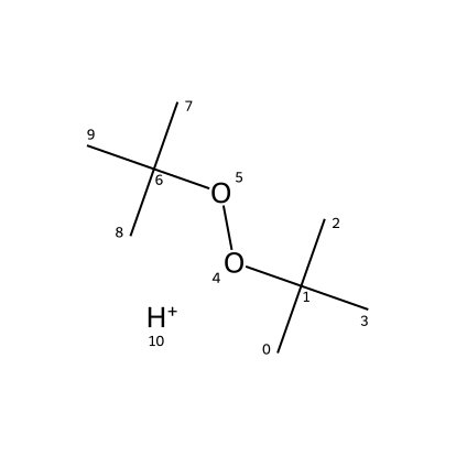 CC(C)(C)OOC(C)(C)C.[H+]